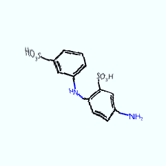 Nc1ccc(Nc2cccc(S(=O)(=O)O)c2)c(S(=O)(=O)O)c1